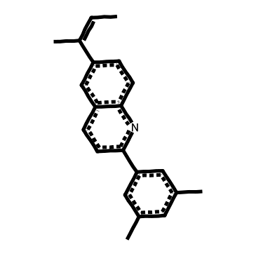 C/C=C(/C)c1ccc2nc(-c3cc(C)cc(C)c3)ccc2c1